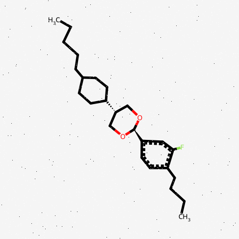 CCCCCC1CCC([C@H]2CO[C@H](c3ccc(CCCC)c(F)c3)OC2)CC1